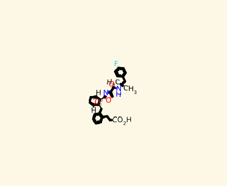 CC(C)(Cc1ccc(F)cc1)NC(=O)c1coc([C@H]2[C@@H](Cc3ccccc3CCC(=O)O)[C@@H]3CC[C@H]2O3)n1